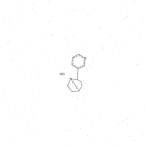 Cl.c1cncc(C2CCC3CCN2CC3)c1